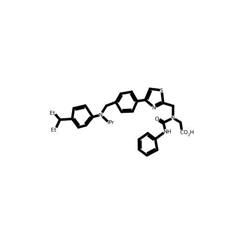 CCC(CC)c1ccc(N(Cc2ccc(-c3csc(CN(CC(=O)O)C(=O)Nc4ccccc4)n3)cc2)C(C)C)cc1